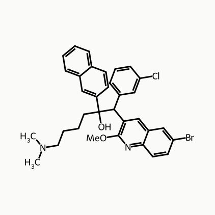 COc1nc2ccc(Br)cc2cc1C(c1cccc(Cl)c1)C(O)(CCCCN(C)C)c1ccc2ccccc2c1